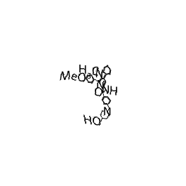 COc1ccc(-c2nc(NC(=O)c3ccc(CN4CCC(CO)CC4)cc3)cc3c4ccccc4n(C)c23)cc1